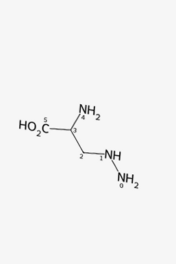 NNCC(N)C(=O)O